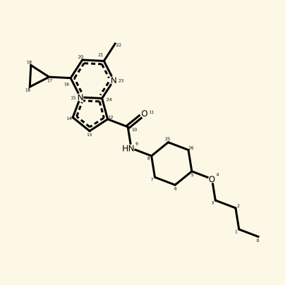 CCCCOC1CCC(NC(=O)c2ccn3c(C4CC4)cc(C)nc23)CC1